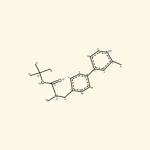 Cc1cc(-c2ccc(CN(C)C(=O)OC(C)(C)C)cc2)ccn1